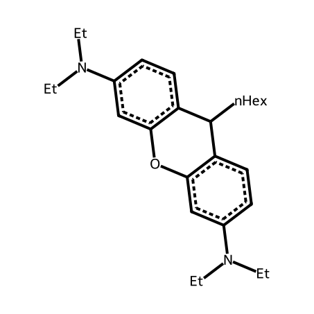 CCCCCCC1c2ccc(N(CC)CC)cc2Oc2cc(N(CC)CC)ccc21